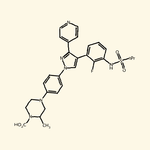 CCCS(=O)(=O)Nc1cccc(-c2cn(-c3ccc(N4CCN(C(=O)O)C(C)C4)cc3)nc2-c2ccncc2)c1F